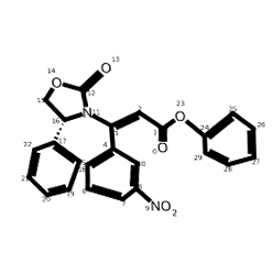 O=C([C]=C(c1cccc([N+](=O)[O-])c1)N1C(=O)OC[C@H]1c1ccccc1)Oc1ccccc1